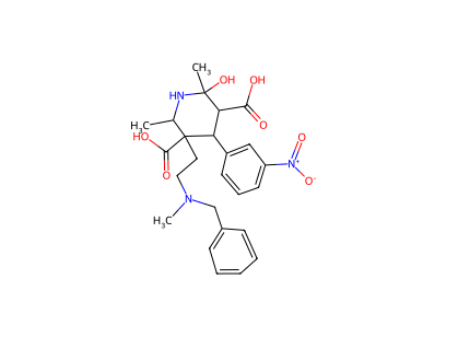 CC1NC(C)(O)C(C(=O)O)C(c2cccc([N+](=O)[O-])c2)C1(CCN(C)Cc1ccccc1)C(=O)O